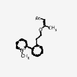 CC(=O)/C=C(/C)OCCc1ccccc1-c1cccc[n+]1C